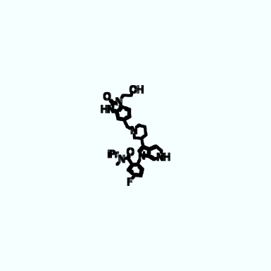 CC(C)N(C)C(=O)c1cc(F)ccc1-n1cc(C2CCCN(Cc3ccc4c(c3)[nH]c(=O)n4CCO)C2)c2c1=CNCC=2